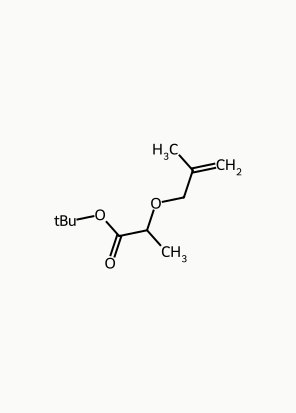 C=C(C)COC(C)C(=O)OC(C)(C)C